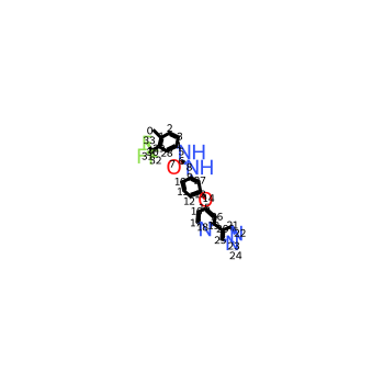 Cc1ccc(NC(=O)Nc2cccc(Oc3ccnc(-c4cnn(C)c4)c3)c2)cc1C(F)(F)F